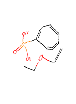 C=COCC.O=P(O)(O)c1ccccc1